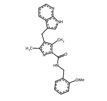 COc1ccccc1CNC(=O)n1nc(C)c(Cc2c[nH]c3ncccc23)c1C